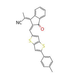 C/C(C#N)=C1/C(=C/c2cc3sc(-c4ccc(C)cc4)cc3s2)C(=O)c2ccccc21